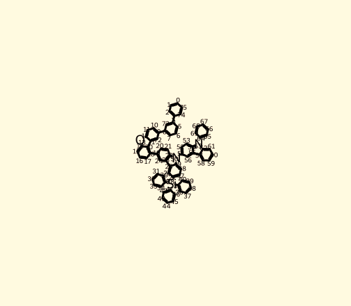 c1ccc(-c2cccc(-c3ccc4oc5cccc(-c6ccc7c(c6)c6cc([Si](c8ccccc8)(c8ccccc8)c8ccccc8)ccc6n7-c6ccc7c(c6)c6ccccc6n7-c6ccccc6)c5c4c3)c2)cc1